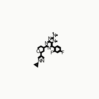 CN(C)c1nc2nc(C3CCOC(c4cnn(C5CC5)c4)C3)nc(-c3ccc(F)cc3F)c2n1C